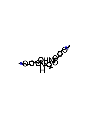 C/C=C/OCC1CCC(COC(=O)NCC2(C)CC(NC(=O)OCC3CCC(CO/C=C/C)CC3)CC(C)(C)C2)CC1